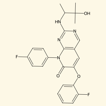 CC(Nc1ncc2cc(Oc3ccccc3F)c(=O)n(-c3ccc(F)cc3)c2n1)C(C)(C)O